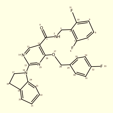 O=C(NCc1c(F)cccc1F)c1cnc(N2CCc3ccccc32)nc1OCc1ccc(F)cc1